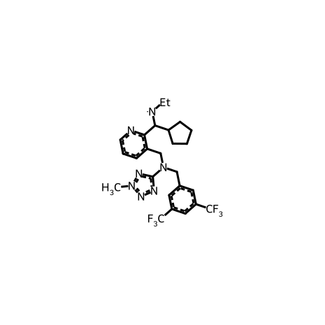 CC[N]C(c1ncccc1CN(Cc1cc(C(F)(F)F)cc(C(F)(F)F)c1)c1nnn(C)n1)C1CCCC1